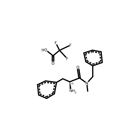 CN(Cc1ccccc1)C(=O)[C@@H](N)Cc1ccccc1.O=C(O)C(F)(F)F